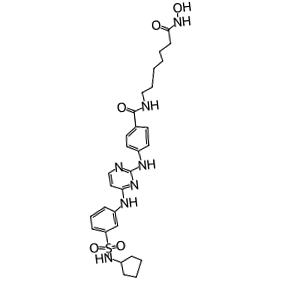 O=C(CCCCCCNC(=O)c1ccc(Nc2nccc(Nc3cccc(S(=O)(=O)NC4CCCC4)c3)n2)cc1)NO